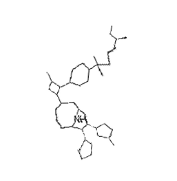 CC[C@@H](C)CCCC(C)(C)C1CCC(C2C(C)CC2C2CCCC3NC(C2)CC(C2CCC(C)C2)C3C2CCCC2)CC1